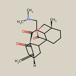 C=C1C(=O)[C@]23CC[C@H]1CC2C12CCC[C@@](C)(COC1=O)C2C(CN(C)C)C3=O